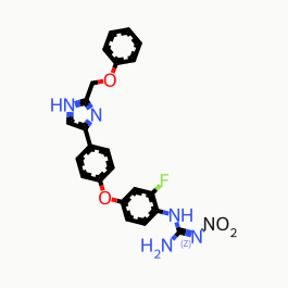 N/C(=N/[N+](=O)[O-])Nc1ccc(Oc2ccc(-c3c[nH]c(COc4ccccc4)n3)cc2)cc1F